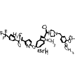 Br.COc1ccc(CN2CCN(C(=O)c3cc4cc(Oc5ccc(N(C)C(=O)c6ccc(C(F)(F)F)cc6)cn5)ccc4n3C)CC2)cc1OC